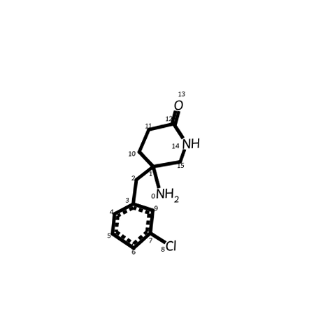 NC1(Cc2cccc(Cl)c2)CCC(=O)NC1